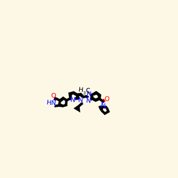 Cn1c(-c2cc3ccc(C4C=C5C(=O)NCC5=CC4)nc3n2CC2CC2)nc2cc(C(=O)N3CC4CCC3C4)ccc21